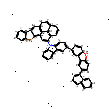 C1=Cc2c(-n3c4ccccc4c4cc(-c5ccc6oc7ccc(-c8cccc9ccccc89)cc7c6c5)ccc43)cc3c4c(cc5c6ccccc6sc35)CC=C(C1)c24